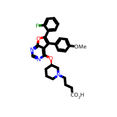 COc1ccc(-c2c(-c3ccccc3F)oc3ncnc(O[C@@H]4CCCN(CCCC(=O)O)C4)c23)cc1